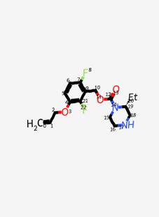 C=CCOc1ccc(F)c(COC(=O)N2CCNC[C@H]2CC)c1F